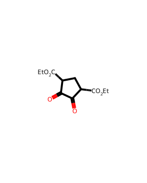 CCOC(=O)C1CC(C(=O)OCC)C(=O)C1=O